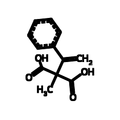 C=C(c1ccccc1)C(C)(C(=O)O)C(=O)O